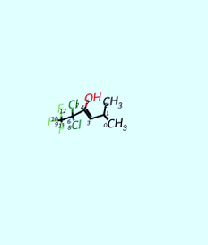 CC(C)/C=C(\O)C(Cl)(Cl)C(F)(F)F